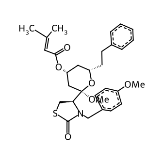 COc1ccc(CN2C(=O)SC[C@H]2[C@@]2(OC)C[C@H](OC(=O)C=C(C)C)C[C@H](CCc3ccccc3)O2)cc1